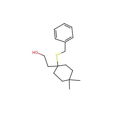 CC1(C)CCC(CCO)(SCc2ccccc2)CC1